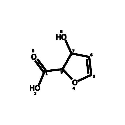 O=C(O)C1OC=CC1O